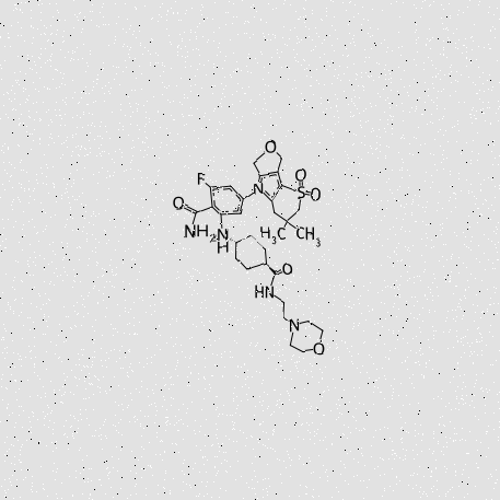 CC1(C)Cc2c(c3c(n2-c2cc(F)c(C(N)=O)c(N[C@H]4CC[C@H](C(=O)NCCN5CCOCC5)CC4)c2)COC3)S(=O)(=O)C1